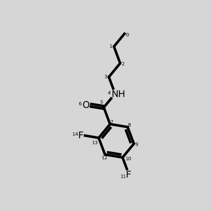 CCCCNC(=O)c1ccc(F)cc1F